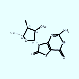 CCC[C@H]1O[C@@H](n2c(=O)sc3c(=O)[nH]c(N)nc32)[C@H](OC(C)=O)[C@@H]1C